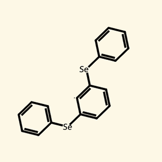 [c]1c([Se]c2ccccc2)cccc1[Se]c1ccccc1